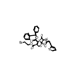 O=C(Cc1cccs1)NC1C(=O)N2C(C(=O)OC(c3ccccc3)c3ccccc3)=C(C(=O)OCCBr)CS[C@@H]12